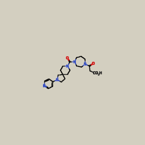 O=C(O)CC(=O)N1CCCN(C(=O)N2CCC3(CC2)CCN(c2ccncc2)C3)CC1